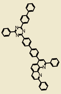 c1ccc(-c2ccc(-c3nc(-c4ccccc4)nc(-c4ccc(-c5ccc(-c6cc(-c7ccccc7)nc7c6ccc6ccc(-c8ccccc8)nc67)cc5)cc4)n3)cc2)cc1